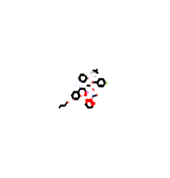 CCCCOc1ccc([C@@H](Nc2ccc(F)cc2)[C@@H](CC[C@H](O[Si](C)(C)C(C)(C)C)c2ccc(F)cc2)C(=O)N2C(=O)OC[C@@H]2c2ccccc2)c(OCCCC)c1